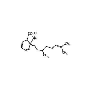 CC(=O)C1(CCC(C)CCC=C(C)C)C=CC=CC1C(=O)O